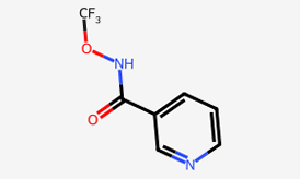 O=C(NOC(F)(F)F)c1cccnc1